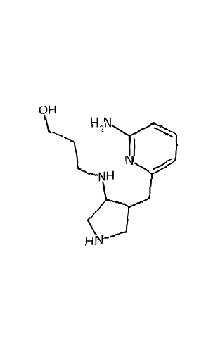 Nc1cccc(CC2CNCC2NCCCO)n1